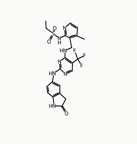 CCS(=O)(=O)Nc1nccc(C)c1CNc1nc(Nc2ccc3c(c2)CC(=O)N3)ncc1C(F)(F)F